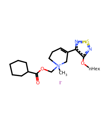 CCCCCCOc1nsnc1C1=CCC[N+](C)(COC(=O)C2CCCCC2)C1.[I-]